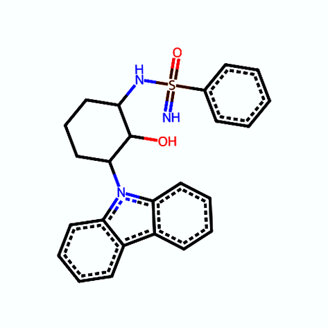 N=S(=O)(NC1CCCC(n2c3ccccc3c3ccccc32)C1O)c1ccccc1